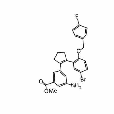 COC(=O)c1cc(N)cc(C2=C(c3cc(Br)ccc3OCc3ccc(F)cc3)CCC2)c1